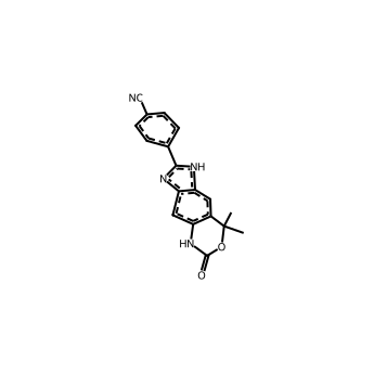 CC1(C)OC(=O)Nc2cc3nc(-c4ccc(C#N)cc4)[nH]c3cc21